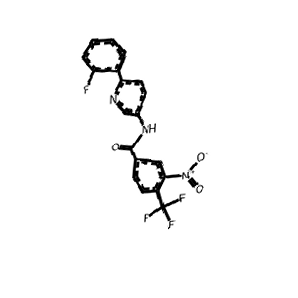 O=C(Nc1ccc(-c2ccccc2F)nc1)c1ccc(C(F)(F)F)c([N+](=O)[O-])c1